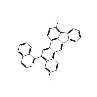 Cc1ccc2c(c1)c(-c1nccc3ccccc13)cc1c3ccc(C)c4c3c(cc21)-c1ccccc1-4